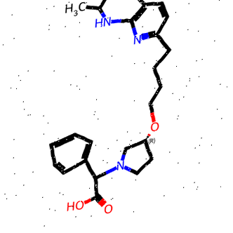 CC1CCc2ccc(CCCCO[C@@H]3CCN(C(C(=O)O)c4ccccc4)C3)nc2N1